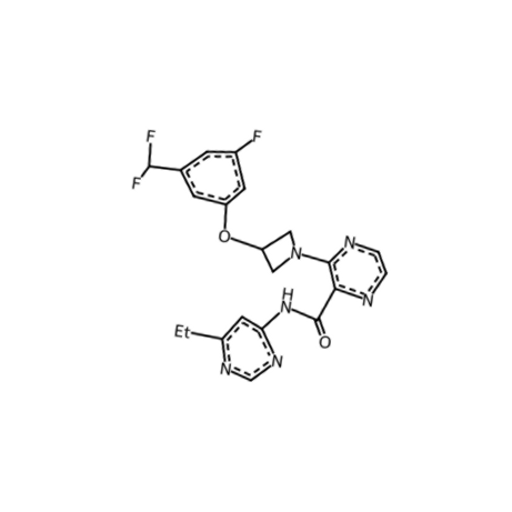 CCc1cc(NC(=O)c2nccnc2N2CC(Oc3cc(F)cc(C(F)F)c3)C2)ncn1